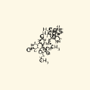 C=CC[C@H]1O[C@H](c2cccc(Cl)c2)[C@@H](c2ccc(Cl)cc2)N([C@@H](CC)CSCCO[Si](c2ccccc2)(c2ccccc2)C(C)(C)C)C1=O